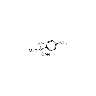 CCC[Si](OC)(OC)c1ccc(C)cc1